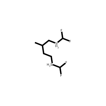 CC(CC[SiH2]C(F)F)C[SiH2]C(F)F